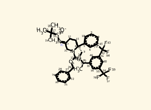 C[C@@H](OC[C@@]1(c2ccccc2)CC/C(=N\[S+]([O-])C(C)(C)C)CN1C(=O)OCc1ccccc1)c1cc(C(F)(F)F)cc(C(F)(F)F)c1